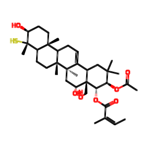 C/C=C(/C)C(=O)O[C@H]1[C@H](OC(C)=O)C(C)(C)CC2C3=CCC4[C@@]5(C)CC[C@H](O)[C@@](C)(S)C5CC[C@@]4(C)[C@]3(C)C[C@@H](O)[C@]21CO